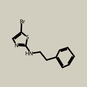 Brc1cnc(NCCc2ccccc2)s1